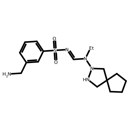 CCN(C=NS(=O)(=O)c1cccc(CN)c1)N1CC2(CCCC2)CN1